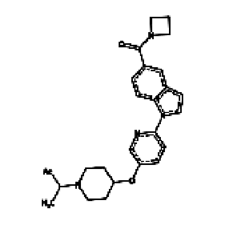 CC(=O)C(C)N1CCC(Oc2ccc(-n3ccc4cc(C(=O)N5CCC5)ccc43)nc2)CC1